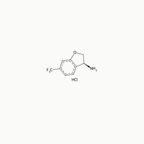 Cl.N[C@@H]1COc2cc(C(F)(F)F)ccc21